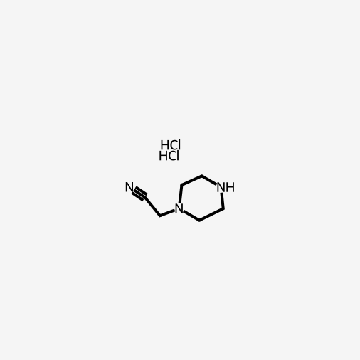 Cl.Cl.N#CCN1CCNCC1